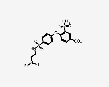 CCN(CC)CCNS(=O)(=O)c1ccc(Oc2ccc(C(=O)O)cc2S(C)(=O)=O)cc1